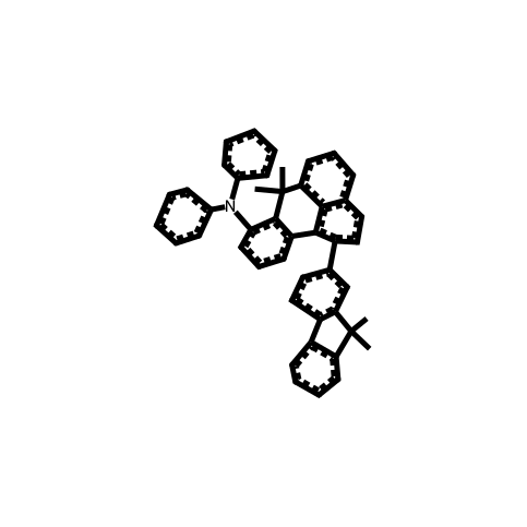 CC1(C)c2ccccc2-c2ccc(-c3ccc4cccc5c4c3-c3cccc(N(c4ccccc4)c4ccccc4)c3C5(C)C)cc21